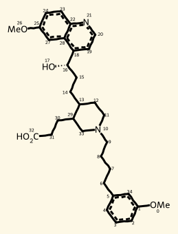 COc1cccc(CCCCN2CCC(CC[C@H](O)c3ccnc4ccc(OC)cc34)C(CCC(=O)O)C2)c1